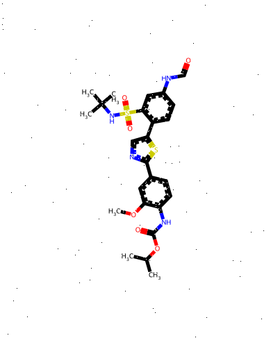 COc1cc(-c2ncc(-c3ccc(NC=O)cc3S(=O)(=O)NC(C)(C)C)s2)ccc1NC(=O)OC(C)C